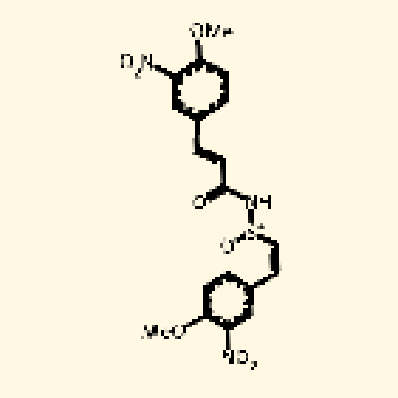 COc1ccc(/C=C\[S+]([O-])NC(=O)/C=C/c2ccc(OC)c([N+](=O)[O-])c2)cc1[N+](=O)[O-]